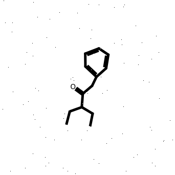 CCC(CC)C(=O)Cc1ccccc1